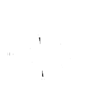 CO[C@H]1O[C@H](CO)[C@@H](O)[C@H](OC(=O)c2ccccc2)C1=O